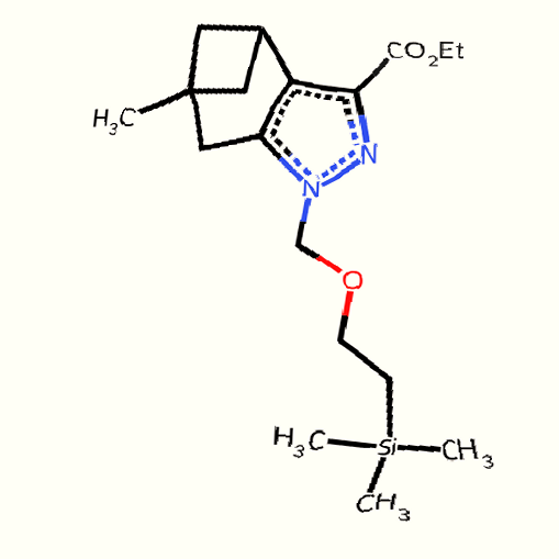 CCOC(=O)c1nn(COCC[Si](C)(C)C)c2c1C1CC(C)(C2)C1